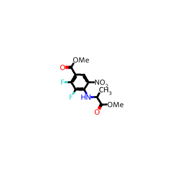 COC(=O)c1cc([N+](=O)[O-])c(NC(C)C(=O)OC)c(F)c1F